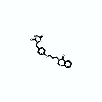 O=C1NC(=O)C(Cc2ccc(OCCCN3CSc4ccccc4C3=O)cc2)S1